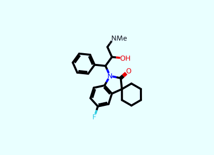 CNCC(O)C(c1ccccc1)N1C(=O)C2(CCCCC2)c2cc(F)ccc21